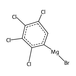 Clc1c[c]([Mg][Br])c(Cl)c(Cl)c1Cl